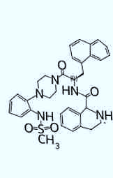 CS(=O)(=O)Nc1ccccc1N1CCN(C(=O)[C@@H](Cc2cccc3ccccc23)NC(=O)C2N[CH]Cc3ccccc32)CC1